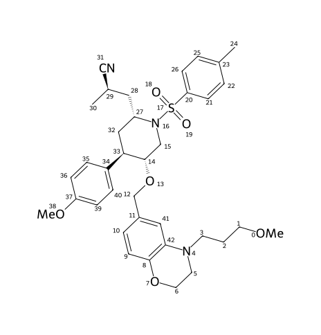 COCCCN1CCOc2ccc(CO[C@H]3CN(S(=O)(=O)c4ccc(C)cc4)[C@@H](C[C@@H](C)C#N)C[C@@H]3c3ccc(OC)cc3)cc21